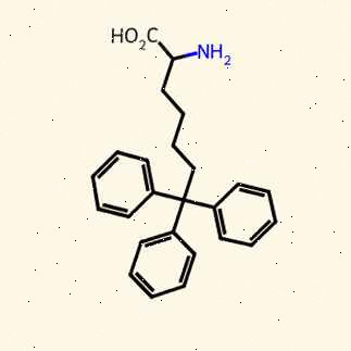 NC(CCCCC(c1ccccc1)(c1ccccc1)c1ccccc1)C(=O)O